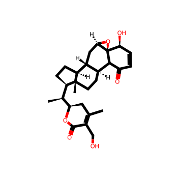 CC1=C(CO)C(=O)O[C@@H]([C@@H](C)[C@H]2CC[C@H]3[C@@H]4C[C@H]5O[C@@]56C(C(=O)C=C[C@@H]6O)[C@H]4CC[C@]23C)C1